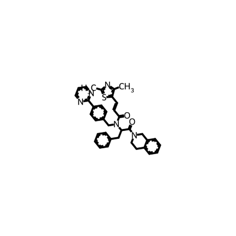 Cc1nc(C)c(C=CC(=O)N(Cc2ccc(-c3ncccn3)cc2)C(Cc2ccccc2)C(=O)N2CCc3ccccc3C2)s1